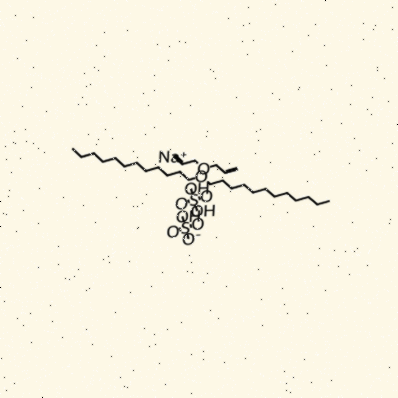 C=CCOCC=C.CCCCCCCCCCCCOCCCCCCCCCCCC.O=S(=O)(O)O.O=S(=O)([O-])O.[Na+]